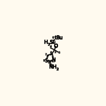 CC(C)(C)[SiH2]OC(C)(C)c1csc(N)n1